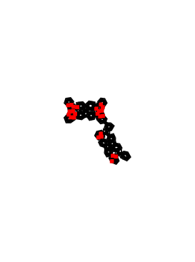 CC(C)(C)c1ccc2c(c1)C1(c3cc(N(c4ccccc4)c4ccccc4)ccc3-c3ccc(N(c4ccccc4)c4cccc(-c5ccc(N(c6ccccc6)c6ccc7c(c6)C6(c8cc(N(c9ccccc9)c9ccccc9)ccc8-c8ccc(N(c9ccccc9)c9ccccc9)cc86)c6cc(N(c8ccccc8)c8ccccc8)ccc6-7)cc5)c4)cc31)c1cc(C(C)(C)C)ccc1-2